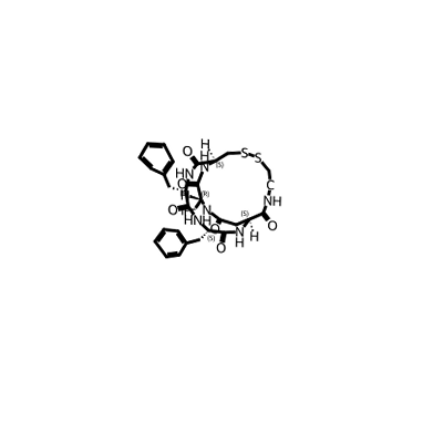 CC(C)[C@H]1NC(=O)C[C@@H]2NC(=O)[C@H](Cc3ccccc3)NC(=O)[C@H](Cc3ccccc3)NC(=O)[C@@H](CSSCCNC2=O)NC1=O